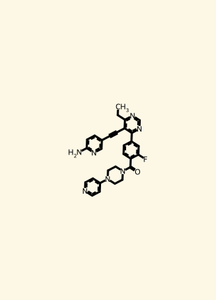 CCc1ncnc(-c2ccc(C(=O)N3CCN(c4ccncc4)CC3)c(F)c2)c1C#Cc1ccc(N)nc1